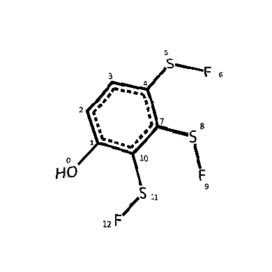 Oc1ccc(SF)c(SF)c1SF